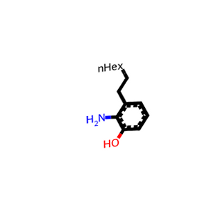 CCCCCCCCc1cccc(O)c1N